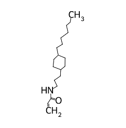 C=CC(=O)NCCCC1CCC(CCCCCCC)CC1